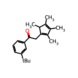 CC1=C(C)C(C)C(CC(=O)c2cccc(C(C)(C)C)c2)=C1C